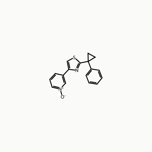 [O-][n+]1cccc(-c2csc(C3(c4ccccc4)CC3)n2)c1